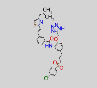 CC(C)Cc1csc(C=Cc2cccc(C(=O)Nc3cc(CCCS(=O)(=O)c4ccc(Cl)cc4)ccc3OCc3nnn[nH]3)c2)n1